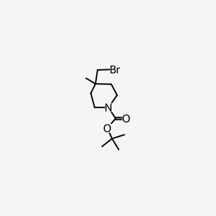 CC1(CBr)CCN(C(=O)OC(C)(C)C)CC1